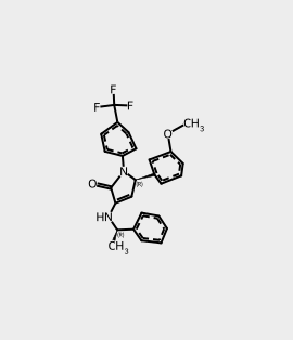 COc1cccc([C@H]2C=C(N[C@H](C)c3ccccc3)C(=O)N2c2ccc(C(F)(F)F)cc2)c1